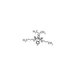 CCCCOP(=O)(OCCCC)c1cscc1P(=O)(OCCCC)OCCCC